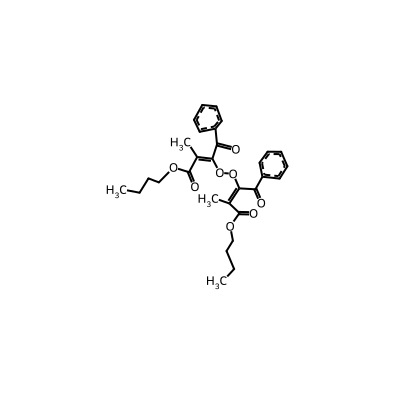 CCCCOC(=O)C(C)=C(OOC(C(=O)c1ccccc1)=C(C)C(=O)OCCCC)C(=O)c1ccccc1